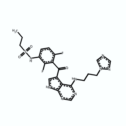 CCCS(=O)(=O)Nc1ccc(F)c(C(=O)c2c[nH]c3ncnc(NCCCn4cncn4)c23)c1F